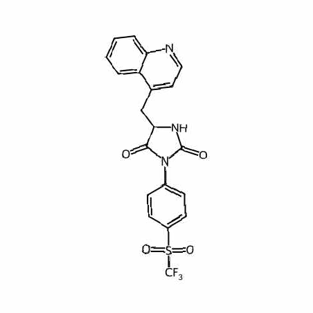 O=C1NC(Cc2ccnc3ccccc23)C(=O)N1c1ccc(S(=O)(=O)C(F)(F)F)cc1